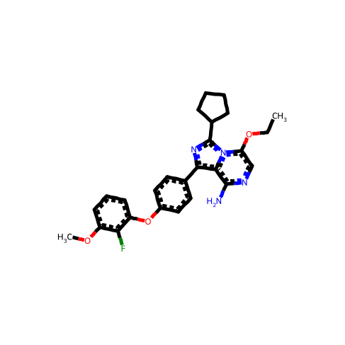 CCOc1cnc(N)c2c(-c3ccc(Oc4cccc(OC)c4F)cc3)nc(C3CCCC3)n12